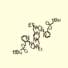 CCN(Cc1cnc(CN(CC)[C@@H]2CCN(c3ncccc3COC(=O)CC(C)(C)C)C2)cn1)[C@@H]1CCN(c2ncccc2COC(=O)CC(C)(C)C)C1